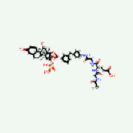 C[C@]12C=CC(=O)C=C1CC[C@H]1[C@@H]3C[C@H]4O[C@@H](c5cccc(Cc6ccc(NC(=O)CNC(=O)[C@H](CCC(=O)O)NC(=O)CNC(=O)CBr)cc6)c5)O[C@@]4(C(=O)COP(=O)(O)O)[C@@]3(C)C[C@H](O)[C@@]12F